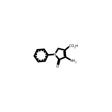 NC1=C(C(=O)O)CN(c2ccccc2)C1=O